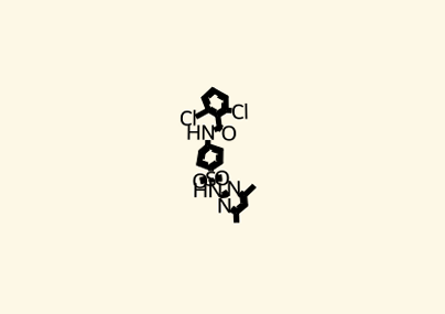 Cc1cc(C)nc(NS(=O)(=O)c2ccc(NC(=O)c3c(Cl)cccc3Cl)cc2)n1